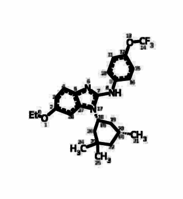 CCOc1ccc2nc(Nc3ccc(OC(F)(F)F)cc3)n([C@@H]3C[C@H](C)CC(C)(C)C3)c2c1